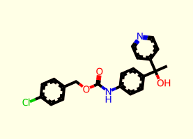 CC(O)(c1ccncc1)c1ccc(NC(=O)OCc2ccc(Cl)cc2)cc1